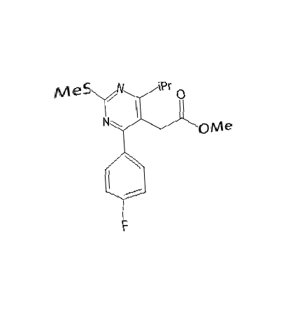 COC(=O)Cc1c(-c2ccc(F)cc2)nc(SC)nc1C(C)C